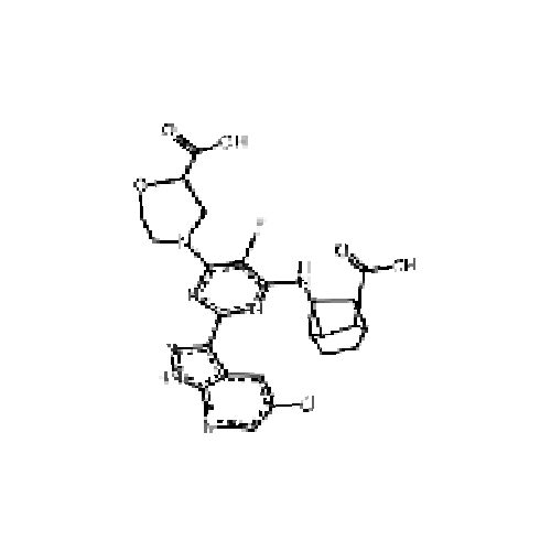 O=C(O)C1CN(c2nc(-c3n[nH]c4ncc(Cl)cc34)nc(NC3C4CCC(CC4)C3C(=O)O)c2F)CCO1